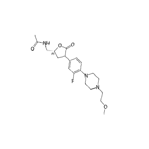 COCCN1CCN(c2ccc(C3C[C@H](CNC(C)=O)OC3=O)cc2F)CC1